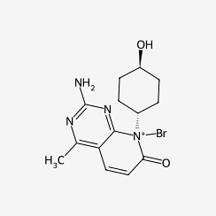 Cc1nc(N)nc2c1C=CC(=O)[N+]2(Br)[C@H]1CC[C@H](O)CC1